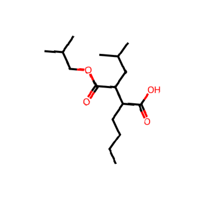 CCCCC(C(=O)O)C(CC(C)C)C(=O)OCC(C)C